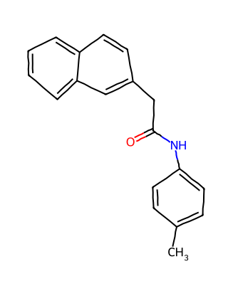 Cc1ccc(NC(=O)Cc2ccc3ccccc3c2)cc1